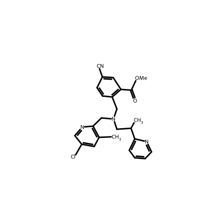 COC(=O)c1cc(C#N)ccc1CN(Cc1ncc(Cl)cc1C)CC(C)c1ccccn1